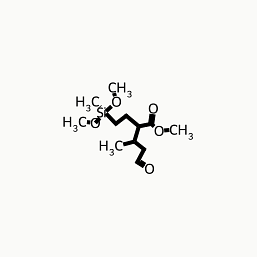 COC(=O)C(CC[Si](C)(OC)OC)C(C)CC=O